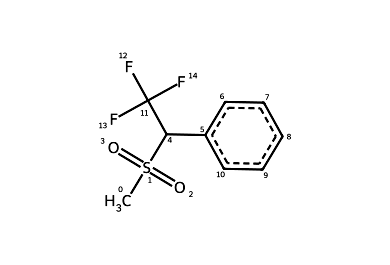 CS(=O)(=O)C(c1ccccc1)C(F)(F)F